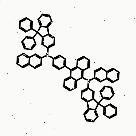 c1ccc(C2(c3ccccc3)c3ccccc3-c3ccc(N(c4ccc(-c5c6ccccc6c(N(c6ccc7c(c6)C(c6ccccc6)(c6ccccc6)c6ccccc6-7)c6ccc7ccccc7c6)c6ccccc56)cc4)c4ccc5ccccc5c4)cc32)cc1